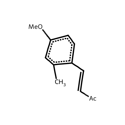 COc1ccc(C=CC(C)=O)c(C)c1